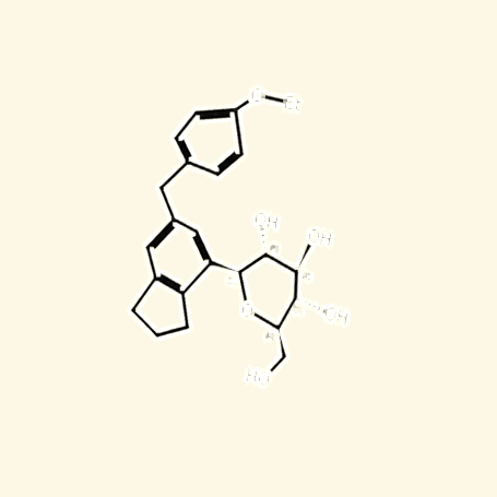 CCOc1ccc(Cc2cc3c(c([C@@H]4O[C@H](CO)[C@@H](O)[C@H](O)[C@H]4O)c2)CCC3)cc1